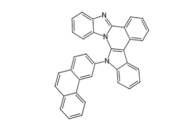 c1ccc2c(c1)ccc1ccc(-n3c4ccccc4c4c5ccccc5c5nc6ccccc6n5c43)cc12